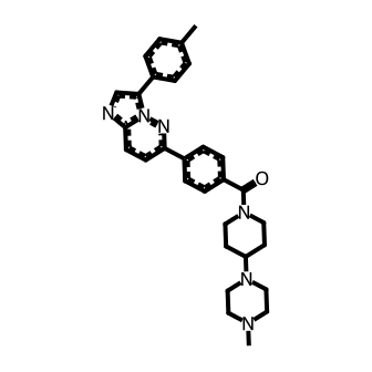 Cc1ccc(-c2cnc3ccc(-c4ccc(C(=O)N5CCC(N6CCN(C)CC6)CC5)cc4)nn23)cc1